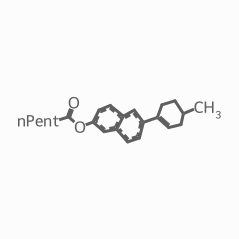 CCCCCC(=O)Oc1ccc2cc(C3=CCC(C)CC3)ccc2c1